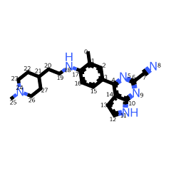 Cc1cc(-c2nc(C#N)nc3[nH]ccc23)ccc1NCCC1CCN(C)CC1